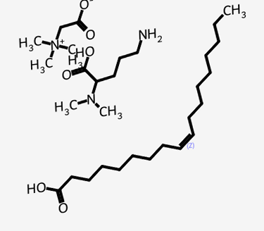 CCCCCCCC/C=C\CCCCCCCC(=O)O.CN(C)C(CCCN)C(=O)O.C[N+](C)(C)CC(=O)[O-]